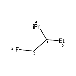 CCC(CF)C(C)C